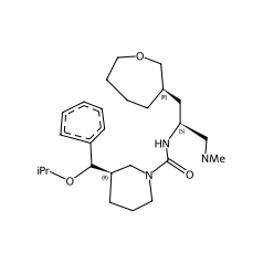 [CH2]C(C)OC(c1ccccc1)[C@@H]1CCCN(C(=O)N[C@H](CNC)C[C@H]2CCCCOC2)C1